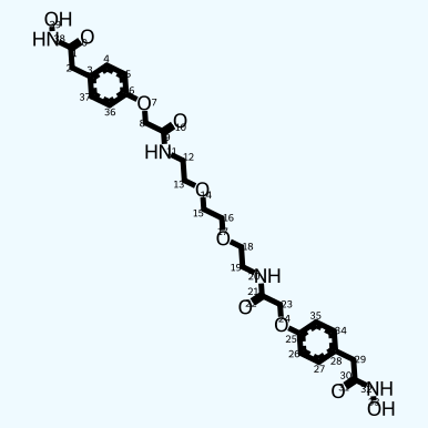 O=C(Cc1ccc(OCC(=O)NCCOCCOCCNC(=O)COc2ccc(CC(=O)NO)cc2)cc1)NO